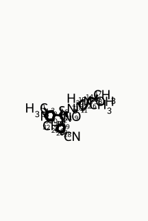 Cc1cc(-c2sc(NC(=O)N3CCN(CC(C)(C)O)CC3)nc2-c2cccc(C#N)c2)cc(C)n1